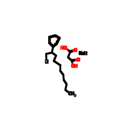 O=C(O)CC(=O)O.[Li][CH2]C(CCCCCCCCC)c1ccccc1.[NaH]